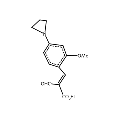 CCOC(=O)/C(C=O)=C/c1ccc(N2CCC2)cc1OC